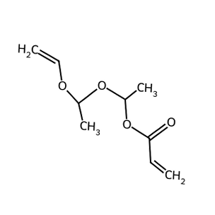 C=COC(C)OC(C)OC(=O)C=C